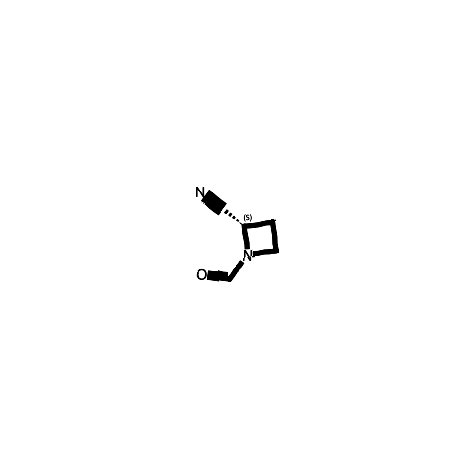 N#C[C@@H]1CCN1C=O